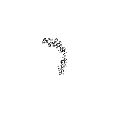 C[C@H](NC(=O)OC(C)(C)C)c1ccc(OCCCCN2CCN(c3ccc4c(c3)CN(C3CCC(=O)NC3=O)C4=O)CC2)cc1